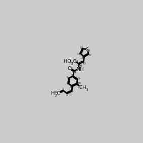 C=C/C=C\c1ccc(C(=O)N/C(=C/c2ccsc2)C(=O)O)cc1C